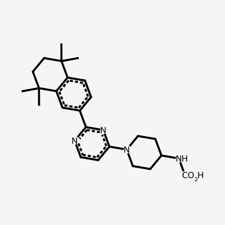 CC1(C)CCC(C)(C)c2cc(-c3nccc(N4CCC(NC(=O)O)CC4)n3)ccc21